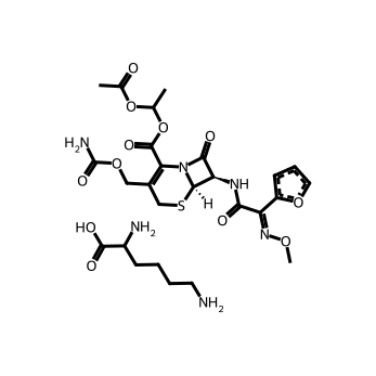 CO/N=C(/C(=O)N[C@@H]1C(=O)N2C(C(=O)OC(C)OC(C)=O)=C(COC(N)=O)CS[C@H]12)c1ccco1.NCCCCC(N)C(=O)O